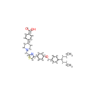 CCCC(CCC)c1ccc(COc2ccc(-c3csc(CN4CCC(c5ccc(C(=O)O)cc5)CC4)n3)cc2)cc1